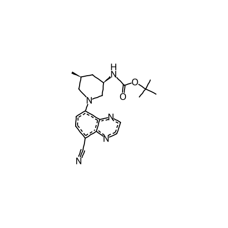 C[C@H]1C[C@@H](NC(=O)OC(C)(C)C)CN(c2ccc(C#N)c3nccnc23)C1